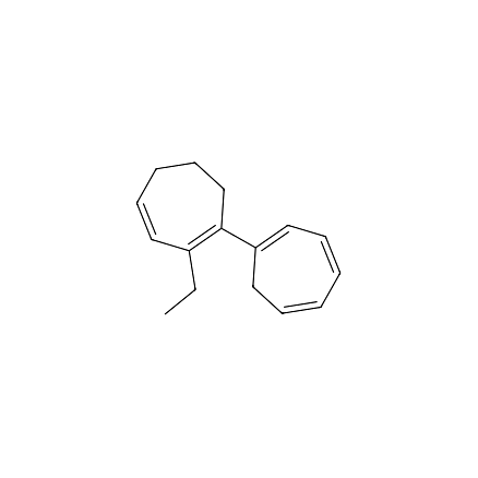 CCC1=C(C2=CC=CC=CC2)CCCC=C1